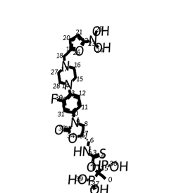 CC(OC(=S)NC[C@H]1CN(c2ccc(N3CCN(Cc4ccc(N(O)O)o4)CC3)c(F)c2)C(=O)O1)(PO)P(O)O